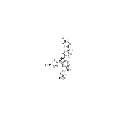 CC(c1ccc(-c2nn([C@H]3CC[C@H](O)CC3)c3nc(NCCC(F)(F)F)ncc23)cc1)N1CCN(C)CC1